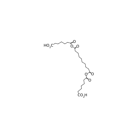 O=C(O)CCCCCC(=O)OC(=O)CCCCCCCCC(=O)OC(=O)CCCCCC(=O)O